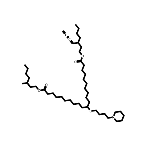 C=C=C=CC(CCCC)CCOC(=O)CCCCCCCCCC(CCCCCCCCCC(=O)OCCC(C)CCCC)OCCCCN1CCCCC1